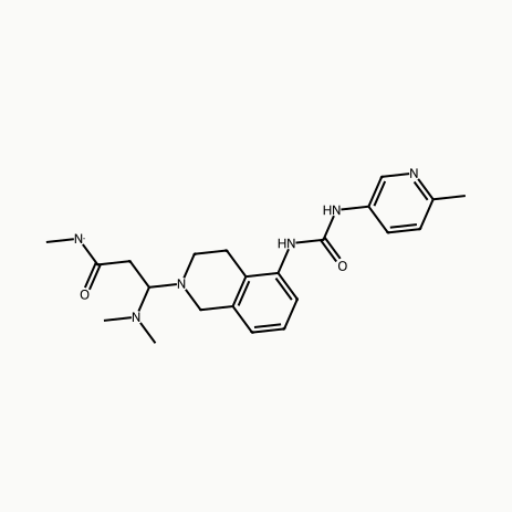 C[N]C(=O)CC(N(C)C)N1CCc2c(cccc2NC(=O)Nc2ccc(C)nc2)C1